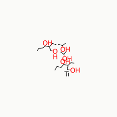 CC(C)O.CC(C)O.CCCC(O)C(CC)CO.CCCC(O)C(CC)CO.[Ti]